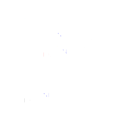 O=C(O)NCCCCN1c2c(F)cccc2N(c2cccc(F)c2)S1(O)O